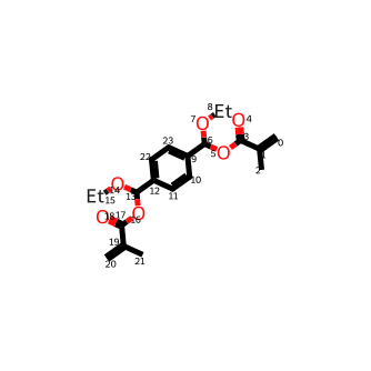 C=C(C)C(=O)OC(OCC)c1ccc(C(OCC)OC(=O)C(=C)C)cc1